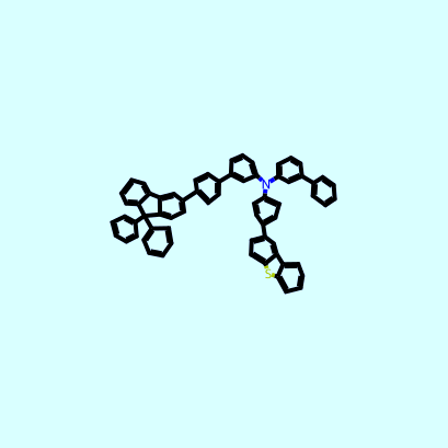 c1ccc(-c2cccc(N(c3ccc(-c4ccc5sc6ccccc6c5c4)cc3)c3cccc(-c4ccc(-c5ccc6c(c5)-c5ccccc5C6(c5ccccc5)c5ccccc5)cc4)c3)c2)cc1